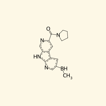 CBc1cnc2[nH]c3cnc(C(=O)N4CCCC4)cc3c2c1